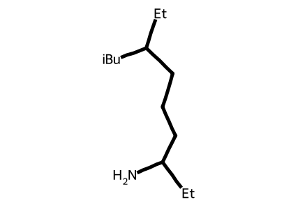 CCC(N)CCCC(CC)C(C)CC